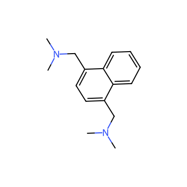 CN(C)Cc1ccc(CN(C)C)c2ccccc12